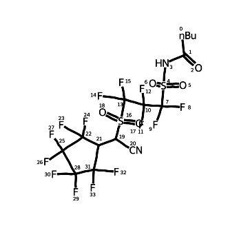 CCCCC(=O)NS(=O)(=O)C(F)(F)C(F)(F)C(F)(F)S(=O)(=O)C(C#N)C1C(F)(F)C(F)(F)C(F)(F)C1(F)F